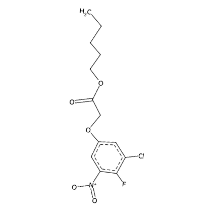 CCCCCOC(=O)COc1cc(Cl)c(F)c([N+](=O)[O-])c1